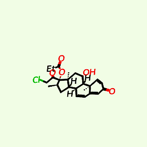 CCC(=O)O[C@@]1(C(=O)CCl)[C@H](C)C[C@H]2[C@@H]3C=CC4=CC(=O)C=C[C@]4(C)[C@H]3[C@@H](O)C[C@@]21C